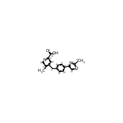 Cc1nc(-c2ccc(Cc3cc(C(=O)O)ncc3C)cc2)co1